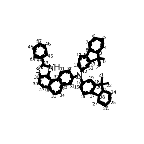 CC1(C)c2ccccc2-c2ccc(N(c3ccc4c(c3)C(C)(C)C3C=CC=CC43)c3ccc4c(ccc5ccc6c(c54)NC(c4ccccc4)S6)c3)cc21